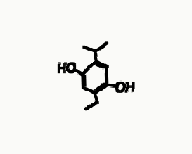 CCc1cc(O)c(C(C)C)cc1O